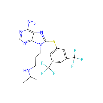 CC(C)NCCCn1c(Sc2cc(C(F)(F)F)cc(C(F)(F)F)c2)nc2c(N)ncnc21